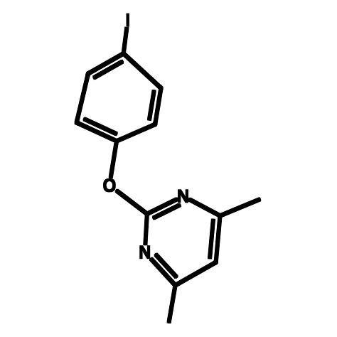 Cc1cc(C)nc(Oc2ccc(I)cc2)n1